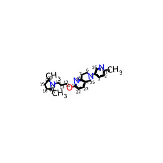 Cc1ccc(N2CCc3nc(OCCCN4[C@H](C)CC[C@H]4C)ccc3C2)cn1